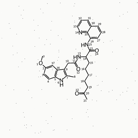 COc1ccc2[nH]c(C)c(CC(=O)NC(CCCCCC(C)=O)C(=O)Nc3cccc4cccnc34)c2c1